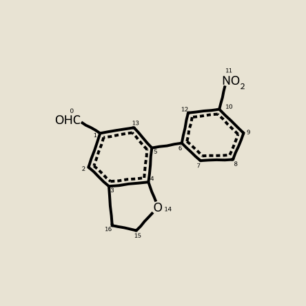 O=Cc1cc2c(c(-c3cccc([N+](=O)[O-])c3)c1)OCC2